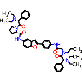 CCCN(CC(=O)Nc1ccc(-c2cc3cc(NC(=O)[C@@H]4CCCN4C(=O)[C@@H](c4ccccc4)N(CC)CC)ccc3o2)cc1)C(=O)[C@@H](c1ccccc1)N(CC)CC